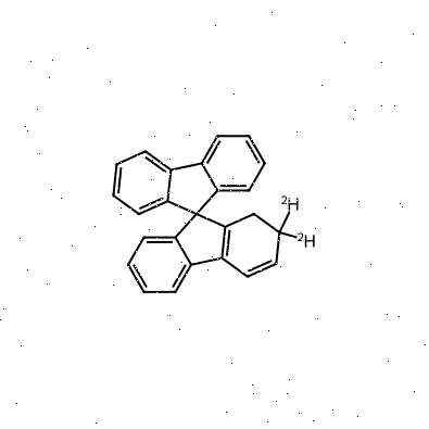 [2H]C1([2H])C=CC2=C(C1)C1(c3ccccc32)c2ccccc2-c2ccccc21